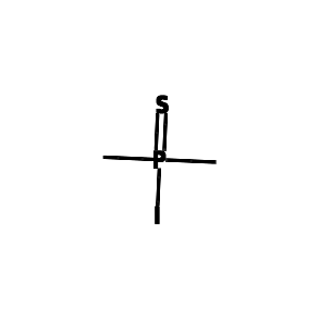 CP(C)(=S)I